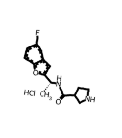 C[C@@H](NC(=O)C1CCNC1)c1cc2cc(F)ccc2o1.Cl